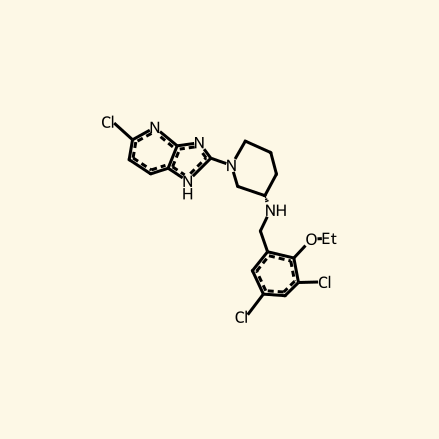 CCOc1c(Cl)cc(Cl)cc1CN[C@H]1CCCN(c2nc3nc(Cl)ccc3[nH]2)C1